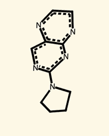 c1cnc2nc(N3CCCC3)ncc2n1